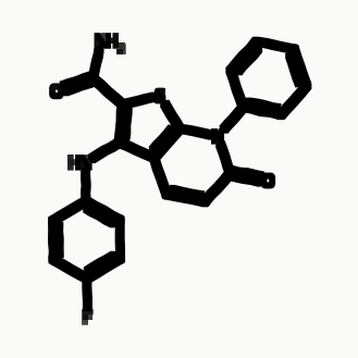 NC(=O)c1sc2c(ccc(=O)n2-c2ccccc2)c1Nc1ccc(F)cc1